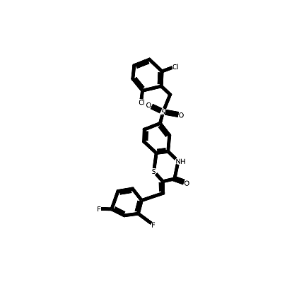 O=C1Nc2cc(S(=O)(=O)Cc3c(Cl)cccc3Cl)ccc2S/C1=C\c1ccc(F)cc1F